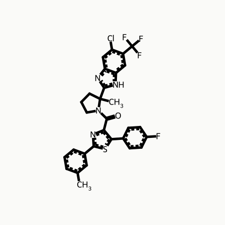 Cc1cccc(-c2nc(C(=O)N3CCCC3(C)c3nc4cc(Cl)c(C(F)(F)F)cc4[nH]3)c(-c3ccc(F)cc3)s2)c1